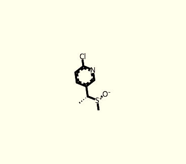 C[C@H](c1ccc(Cl)nc1)[S+](C)[O-]